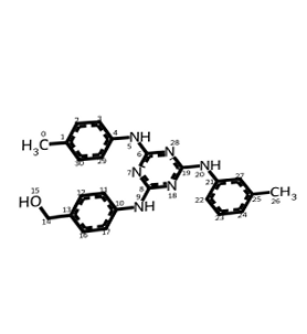 Cc1ccc(Nc2nc(Nc3ccc(CO)cc3)nc(Nc3cccc(C)c3)n2)cc1